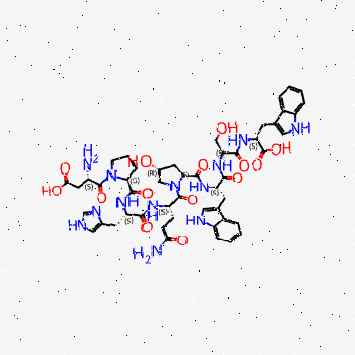 NC(=O)CC[C@H](NC(=O)[C@H](Cc1c[nH]cn1)NC(=O)[C@@H]1CCCN1C(=O)[C@@H](N)CC(=O)O)C(=O)N1C[C@H](O)C[C@H]1C(=O)N[C@@H](Cc1c[nH]c2ccccc12)C(=O)N[C@@H](CO)C(=O)N[C@@H](Cc1c[nH]c2ccccc12)C(=O)O